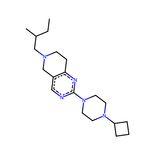 CCC(C)CN1CCc2nc(N3CCN(C4CCC4)CC3)ncc2C1